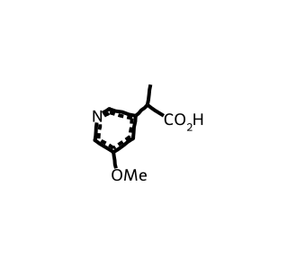 COc1cncc(C(C)C(=O)O)c1